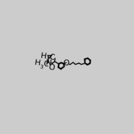 CCC(C(=O)N(C)C1CC1)c1cccc(OCCCCCc2ccccc2)c1